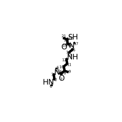 CNCCN(C)C(=O)C(C)CCCNCCN(C)C(=O)C(C)S